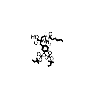 CCCCCC(=O)O[C@@H](C)CC(N)(Cc1ccc(OC(=O)OC(C)(C)CC)c(OC(=O)OC(C)(C)CC)c1)C(=O)O